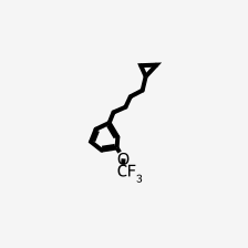 FC(F)(F)Oc1cccc(CCCCC2CC2)c1